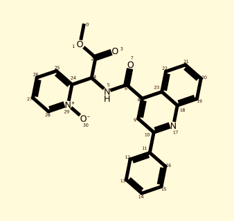 COC(=O)C(NC(=O)c1cc(-c2ccccc2)nc2ccccc12)c1cccc[n+]1[O-]